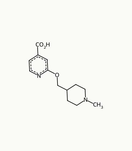 CN1CCC(COc2cc(C(=O)O)ccn2)CC1